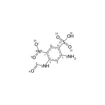 Nc1cc(NC=O)c([N+](=O)[O-])cc1S(=O)(=O)O